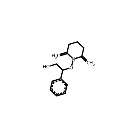 C=C1CCCC(=C)N1OC(CO)c1ccccc1